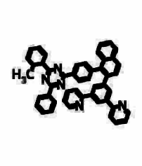 CC1C=CC=CC1c1nc(-c2ccccc2)nc(-c2ccc(-c3c(-c4cc(-c5ccccn5)cc(-c5ccccn5)c4)ccc4ccccc34)cc2)n1